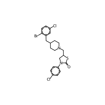 O=C1SC(CN2CCC(Cc3cc(Cl)ccc3Br)CC2)CN1c1ccc(Cl)cc1